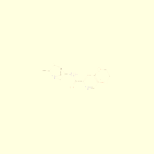 CC1CC2CN1CC2NC(=O)c1cc2c(cn1)OCCO2